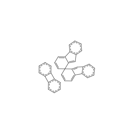 C1=CC2(C=CC=C3C2=Cc2ccccc23)C2=Cc3ccccc3C2=C1.c1ccc2c(c1)-c1ccccc1-2